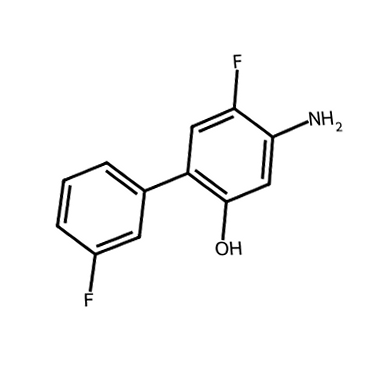 Nc1cc(O)c(-c2cccc(F)c2)cc1F